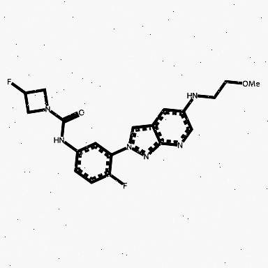 COCCNc1cnc2nn(-c3cc(NC(=O)N4CC(F)C4)ccc3F)cc2c1